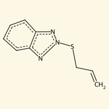 C=CCSn1nc2ccccc2n1